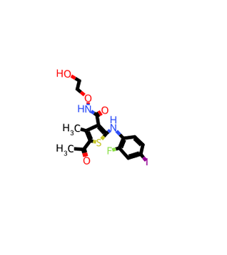 CC(=O)c1sc(Nc2ccc(I)cc2F)c(C(=O)NOCCO)c1C